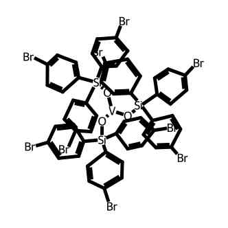 Brc1ccc([Si]([O][V]([O][Si](c2ccc(Br)cc2)(c2ccc(Br)cc2)c2ccc(Br)cc2)[O][Si](c2ccc(Br)cc2)(c2ccc(Br)cc2)c2ccc(Br)cc2)(c2ccc(Br)cc2)c2ccc(Br)cc2)cc1